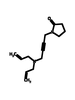 C=CCN(CC#CCN1CCCC1=O)CC=C